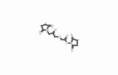 O=C(COCC(=O)ON1C(=O)CCC1=O)CN1C(=O)CCC1=O